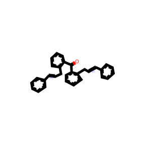 O=C(c1ccccc1C/C=C/c1ccccc1)c1ccccc1C/C=C/c1ccccc1